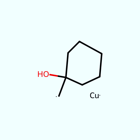 [CH2]C1(O)CCCCC1.[Cu]